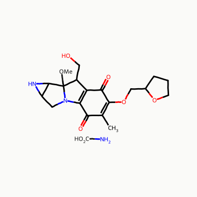 COC12C(CO)C3=C(C(=O)C(C)=C(OCC4CCCO4)C3=O)N1CC1NC12.NC(=O)O